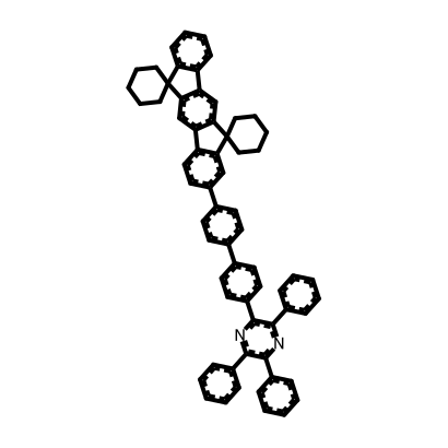 c1ccc(-c2nc(-c3ccccc3)c(-c3ccc(-c4ccc(-c5ccc6c(c5)C5(CCCCC5)c5cc7c(cc5-6)C5(CCCCC5)c5ccccc5-7)cc4)cc3)nc2-c2ccccc2)cc1